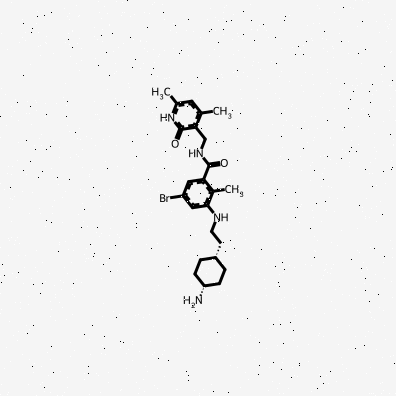 Cc1cc(C)c(CNC(=O)c2cc(Br)cc(NCC[C@H]3CC[C@@H](N)CC3)c2C)c(=O)[nH]1